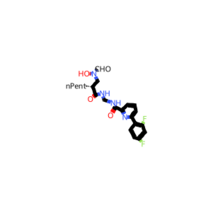 CCCCC[C@H](CN(O)C=O)C(=O)NCNC(=O)c1cccc(-c2ccc(F)cc2F)n1